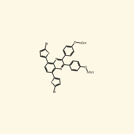 CCCCCCCCOc1ccc(-c2nc3c(-c4ccc(Br)s4)ccc(-c4ccc(Br)s4)c3nc2-c2ccc(OCCCCCCCC)cc2)cc1